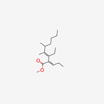 CC/C=C(C(=O)OC)\C(CC)=C(/C)C(C)CCCC